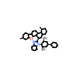 Cc1ccc2c(c1)oc1c2ccc2c3c(C)cccc3cc(-c3nc4ccccc4n3-c3c(C(C)C)cc(-c4ccccc4)cc3C(C)C)c21